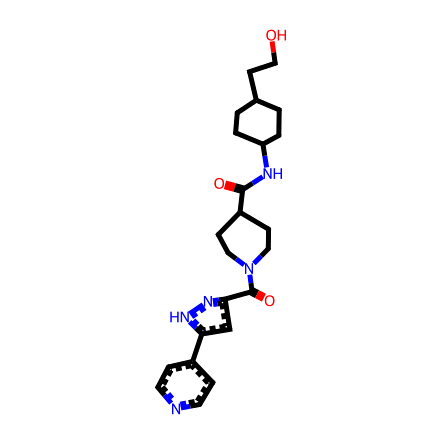 O=C(NC1CCC(CCO)CC1)C1CCN(C(=O)c2cc(-c3ccncc3)[nH]n2)CC1